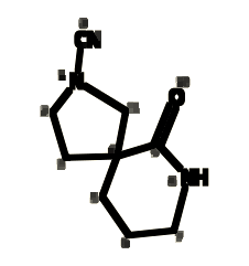 N#CN1CCC2(CCCNC2=O)C1